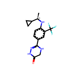 C[C@@H](Nc1ccc(C2=NNC(=O)CN2)cc1C(F)(F)F)C1CC1